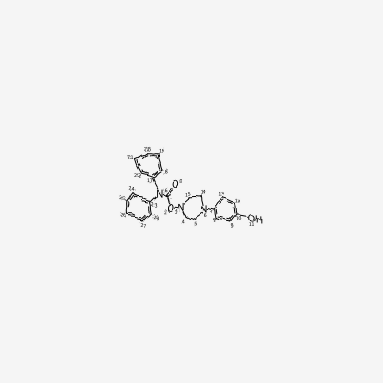 O=C(ON1CCN(c2ccc(O)cc2)CC1)N(c1ccccc1)c1ccccc1